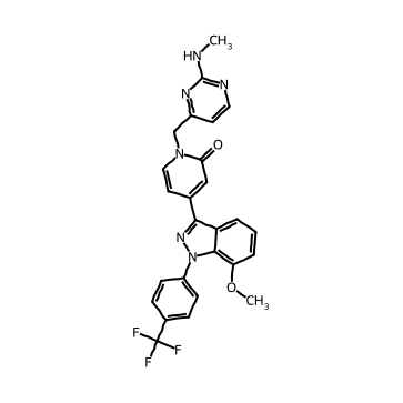 CNc1nccc(Cn2ccc(-c3nn(-c4ccc(C(F)(F)F)cc4)c4c(OC)cccc34)cc2=O)n1